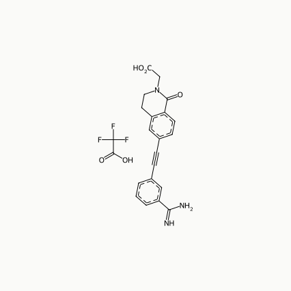 N=C(N)c1cccc(C#Cc2ccc3c(c2)CCN(CC(=O)O)C3=O)c1.O=C(O)C(F)(F)F